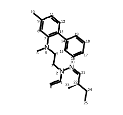 C=CN(CCN(C)c1cc(C)ccc1-c1ccccc1)/N=C\[C@H](C)CC